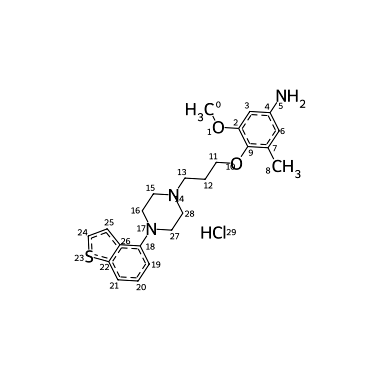 COc1cc(N)cc(C)c1OCCCN1CCN(c2cccc3sccc23)CC1.Cl